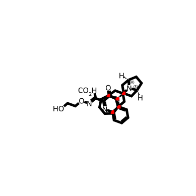 O=C(O)C(=NOCCO)c1nc2ccccc2n([C@H]2C[C@H]3CC[C@@H](C2)N3C2CC3CCCCC(C3)C2)c1=O